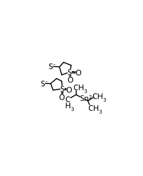 C[CH](C)[Sn+2][CH](C)C.O=S1(=O)CCC([S-])C1.O=S1(=O)CCC([S-])C1